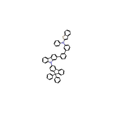 c1ccc(N(c2cccc(-c3cccc(-c4ccc5c6ccccc6n(-c6ccc7c(c6)-c6ccccc6C7(c6ccccc6)c6ccccc6)c5c4)c3)c2)c2cc3ccccc3s2)cc1